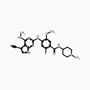 CNc1nc(Nc2cc(F)c(C(=O)NC3CCN(C)CC3)cc2OC)nc2[nH]cc(C#N)c12